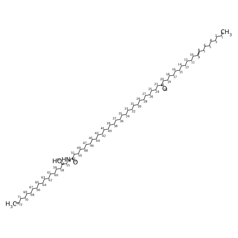 CCCCCCCCC=CCCCCCCCCCCCC(=O)CCCCCCCCCCCCCCCCCCCCCCCCCCCCCC(=O)NC[C@H](O)CCCCCCCCCCCCCCCC